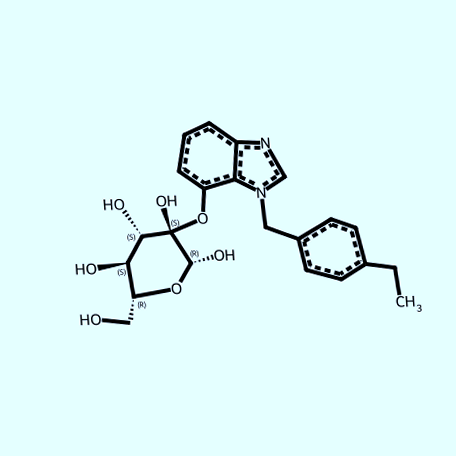 CCc1ccc(Cn2cnc3cccc(O[C@]4(O)[C@H](O)O[C@H](CO)[C@@H](O)[C@@H]4O)c32)cc1